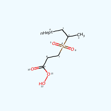 CCCCCCCCC(C)S(=O)(=O)CCC(=O)OO